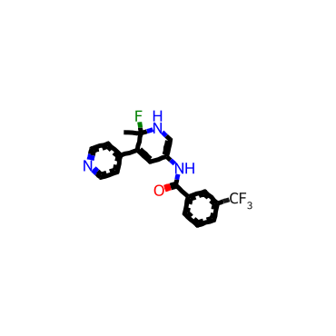 CC1(F)NC=C(NC(=O)c2cccc(C(F)(F)F)c2)C=C1c1ccncc1